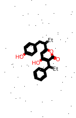 CCC(Cc1ccc(O)cc1)c1cc(O)c(C(CC)c2ccccc2)c(=O)o1